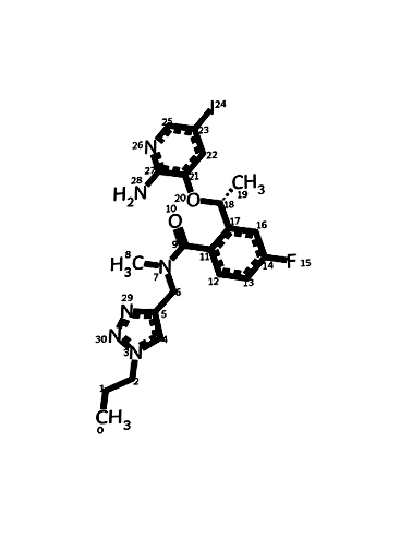 CCCn1cc(CN(C)C(=O)c2ccc(F)cc2[C@@H](C)Oc2cc(I)cnc2N)nn1